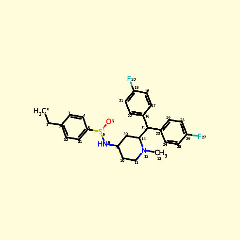 CCc1ccc([S+]([O-])NC2CCN(C)C(C(c3ccc(F)cc3)c3ccc(F)cc3)C2)cc1